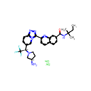 CCC(C)(C)NC(=O)c1ccc2ccc(-c3nnc4ccc([C@@H](N5CC[C@@H](N)C5)C(F)(F)F)cn34)nc2c1.Cl.Cl